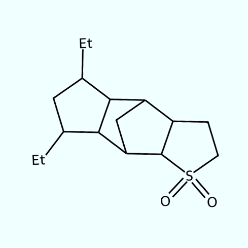 CCC1CC(CC)C2C3CC(C4CCS(=O)(=O)C43)C12